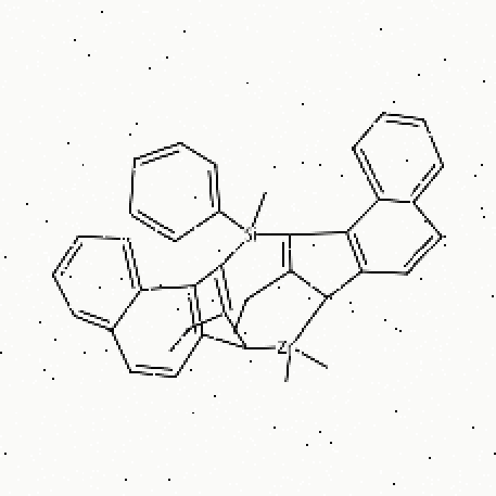 CCC1=C2c3c(ccc4ccccc34)[CH]1[Zr]([CH3])([CH3])[CH]1C(CC)=C(c3c1ccc1ccccc31)[Si]2(C)c1ccccc1